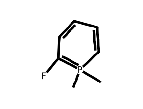 CP1(C)=C(F)C=CC=C1